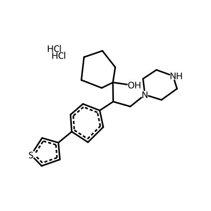 Cl.Cl.OC1(C(CN2CCNCC2)c2ccc(-c3ccsc3)cc2)CCCCC1